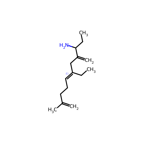 C=C(C)CC/C=C(\CC)CC(=C)C(N)CC